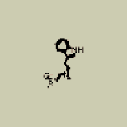 CN(CCc1c[nH]c2ccccc12)CC[S@+](C)[O-]